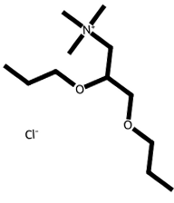 CCCOCC(C[N+](C)(C)C)OCCC.[Cl-]